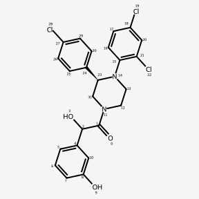 O=C(C(O)c1cccc(O)c1)N1CCN(c2ccc(Cl)cc2Cl)[C@H](c2ccc(Cl)cc2)C1